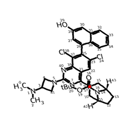 CN(C)C1CN(c2nc(N3C[C@H]4CC[C@@H](C3)N4C(=O)OC(C)(C)C)c3cc(Cl)c(-c4cc(O)cc5ccccc45)c(Cl)c3n2)C1